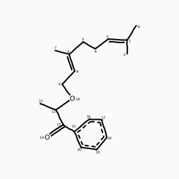 CC(C)=CCC/C(C)=C/COC(C)C(=O)c1ccccc1